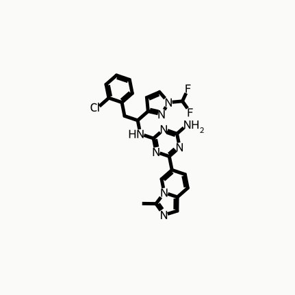 Cc1ncc2ccc(-c3nc(N)nc(NC(Cc4ccccc4Cl)c4ccn(C(F)F)n4)n3)cn12